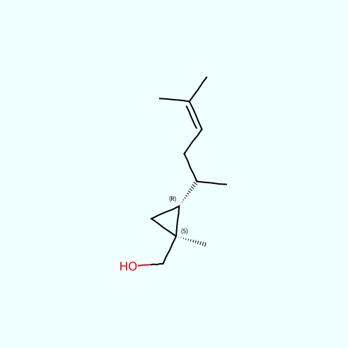 CC(C)=CCC(C)[C@H]1C[C@]1(C)CO